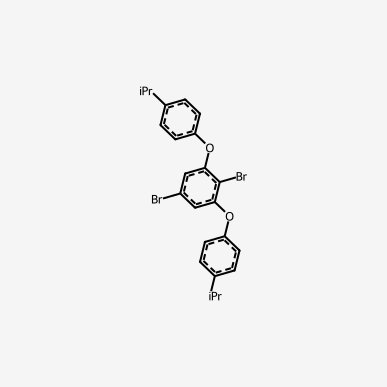 CC(C)c1ccc(Oc2cc(Br)cc(Oc3ccc(C(C)C)cc3)c2Br)cc1